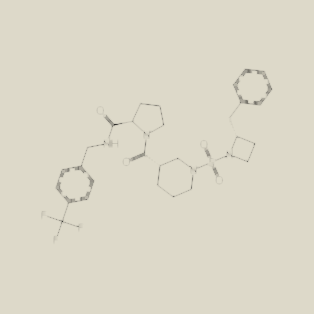 O=C(NCc1ccc(C(F)(F)F)cc1)[C@H]1CCCN1C(=O)[C@H]1CCCN(S(=O)(=O)N2CC[C@H]2Cc2ccccc2)C1